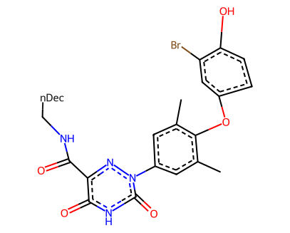 CCCCCCCCCCCNC(=O)c1nn(-c2cc(C)c(Oc3ccc(O)c(Br)c3)c(C)c2)c(=O)[nH]c1=O